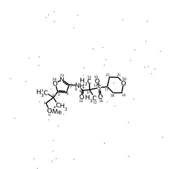 COCC(C)(C)c1cc(NC(=O)C(C)(C)S(=O)(=O)C2CCOCC2)no1